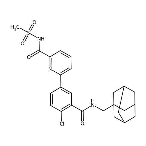 CS(=O)(=O)NC(=O)c1cccc(-c2ccc(Cl)c(C(=O)NCC34CC5CC(CC(C5)C3)C4)c2)n1